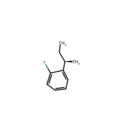 CC[C@@H](C)c1ccccc1F